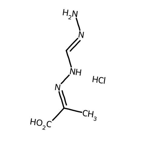 CC(=NNC=NN)C(=O)O.Cl